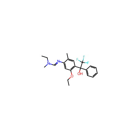 CCOc1cc(/N=C/N(C)CC)c(C)cc1C(O)(c1ccccc1)C(F)(F)F